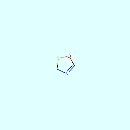 [CH]1N=COS1